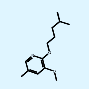 COc1cc(C)cnc1OCCCC(C)C